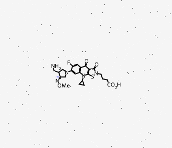 CO/N=C1\CN(c2cc3c(cc2F)c(=O)c2c(=O)n(CCCC(=O)O)sc2n3C2CC2)CC1CN